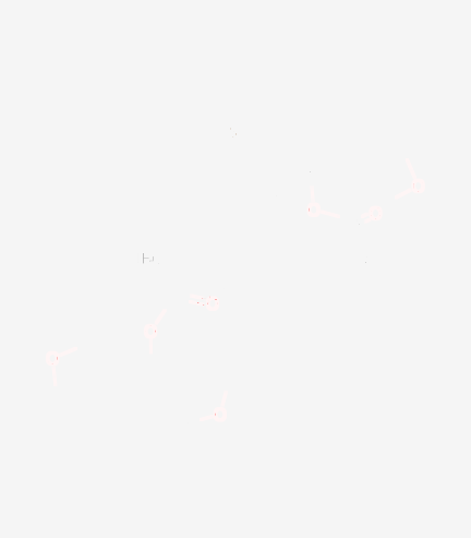 C=C(C)C(=O)OC1(C2CCOC2)c2ccccc2Sc2ccc(-c3ccc4c(c3)C(OC(=O)C(C)(C)C)(C3CCOC3)c3ccccc3O4)cc21